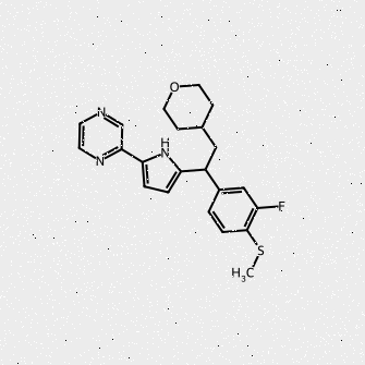 CSc1ccc(C(CC2CCOCC2)c2ccc(-c3cnccn3)[nH]2)cc1F